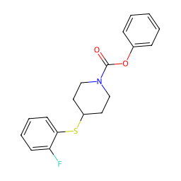 O=C(Oc1ccccc1)N1CCC(Sc2ccccc2F)CC1